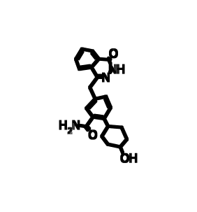 NC(=O)c1cc(Cc2n[nH]c(=O)c3ccccc23)ccc1C1CCC(O)CC1